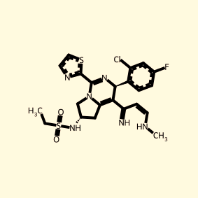 CCS(=O)(=O)N[C@H]1CC2=C(C(=N)/C=C\NC)[C@H](c3ccc(F)cc3Cl)N=C(c3nccs3)N2C1